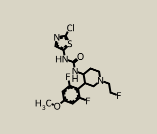 COc1cc(F)c(C2CN(CCF)CCC2NC(=O)Nc2cnc(Cl)s2)c(F)c1